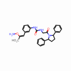 NOC(=Cc1cccc(NC(=O)NCC(=O)N2C(c3ccccc3)CCC2c2ccccc2)c1)C(=O)O